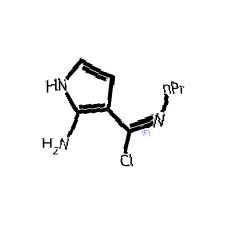 CCC/N=C(/Cl)c1cc[nH]c1N